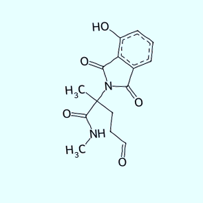 CNC(=O)C(C)(CCC=O)N1C(=O)c2cccc(O)c2C1=O